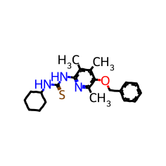 Cc1nc(NC(=S)NC2CCCCC2)c(C)c(C)c1OCc1ccccc1